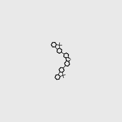 CC1(C)c2ccccc2-c2ccc(-c3ccc4sc5ccc(-c6ccc7c(c6)C(C)(C)c6ccccc6-7)cc5c4c3)cc21